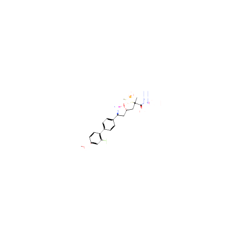 COc1ccc(-c2ccc(C3=NOC(CC(C)(C(=O)NO)S(C)(=O)=O)C3)cc2)c(F)c1